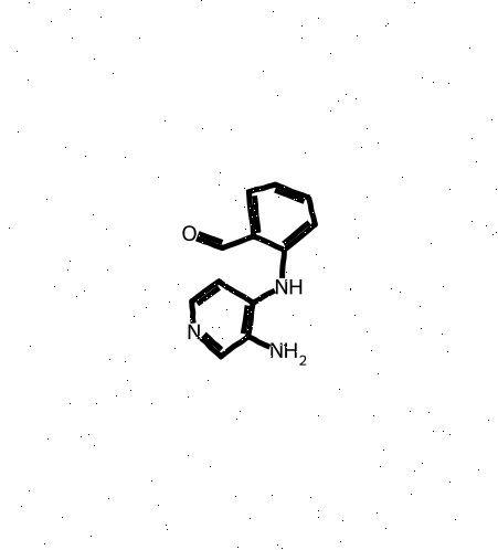 Nc1cnccc1Nc1ccccc1C=O